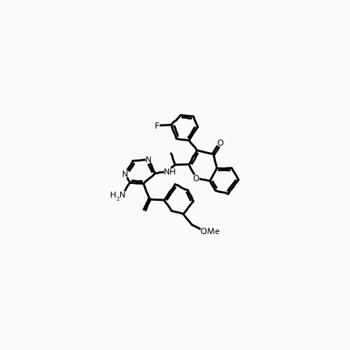 C=C(C1=CC=CC(COC)C1)c1c(N)ncnc1NC(C)c1oc2ccccc2c(=O)c1-c1cccc(F)c1